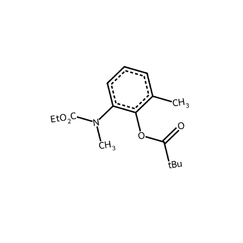 CCOC(=O)N(C)c1cccc(C)c1OC(=O)C(C)(C)C